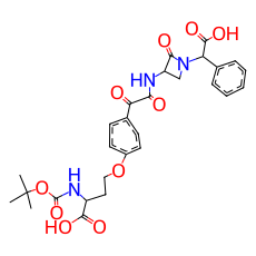 CC(C)(C)OC(=O)NC(CCOc1ccc(C(=O)C(=O)NC2CN(C(C(=O)O)c3ccccc3)C2=O)cc1)C(=O)O